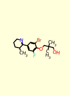 CC1CCCN=C1c1cc(F)c(OCC(C)(C)CO)c(Br)c1